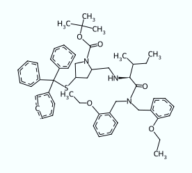 CCOc1ccccc1CN(Cc1ccccc1OCC)C(=O)[C@@H](NCC1CC(SC(c2ccccc2)(c2ccccc2)c2ccccc2)CN1C(=O)OC(C)(C)C)C(C)CC